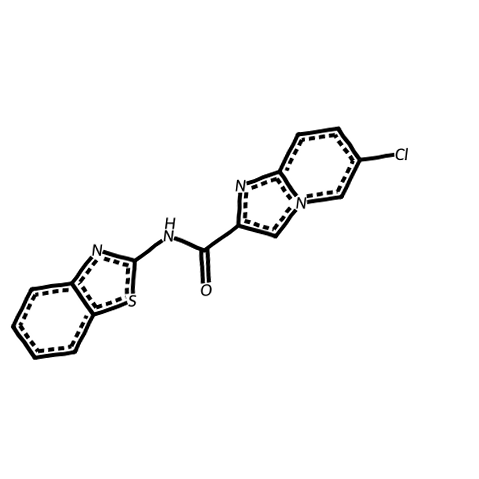 O=C(Nc1nc2ccccc2s1)c1cn2cc(Cl)ccc2n1